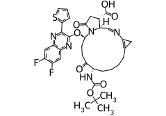 CC(C)(C)OC(=O)N[C@H]1CCCCC2=C(C2)/N=C\[C@@H]2[C@@H](C(=O)O)CC(=O)N2[C@H](Oc2nc3cc(F)c(F)cc3nc2-c2cccs2)CCC1=O